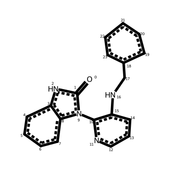 O=c1[nH]c2ccccc2n1-c1ncccc1NCc1ccccc1